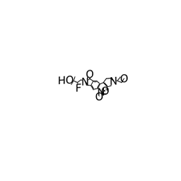 CC(C)(O)C(F)CN1Cc2cc([N+](=O)[O-])c(C3=CCN(C4COC4)CC3)cc2C1=O